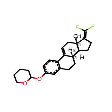 C[C@]12CC=C3c4ccc(OC5CCCCO5)cc4CC[C@H]3[C@@H]1CCC2=C(F)F